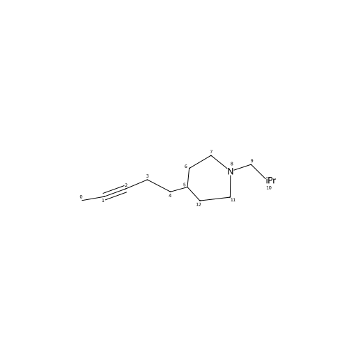 CC#CCCC1CCN(CC(C)C)CC1